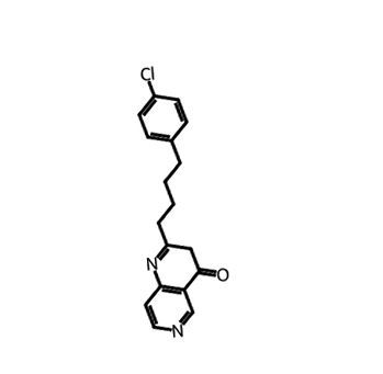 O=C1CC(CCCCc2ccc(Cl)cc2)=Nc2ccncc21